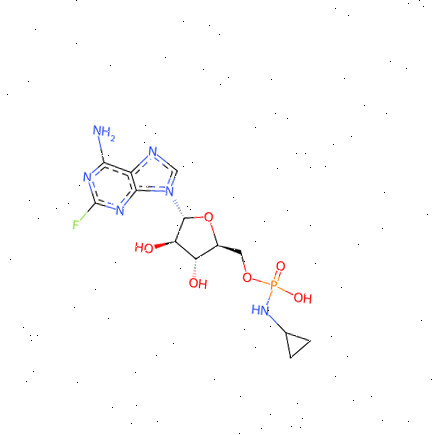 Nc1nc(F)nc2c1ncn2[C@@H]1O[C@@H](COP(=O)(O)NC2CC2)[C@H](O)[C@H]1O